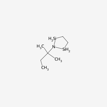 CCC(C)(C)N1[SiH2]CC[SiH2]1